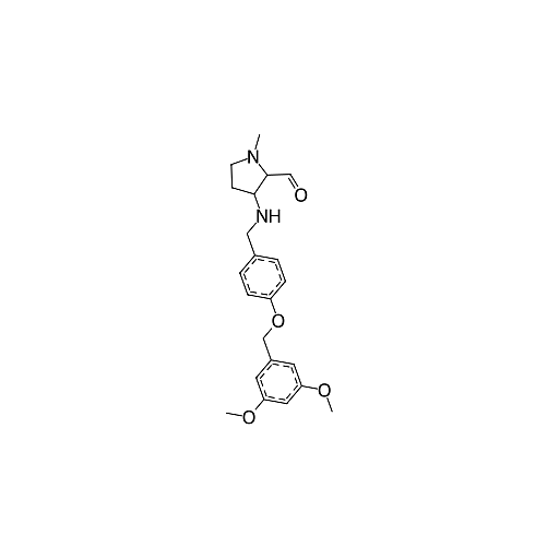 COc1cc(COc2ccc(CNC3CCN(C)C3C=O)cc2)cc(OC)c1